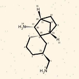 NC[C@H]1CCC[C@@]2(C1)[C@H]1CC[C@H](C1)[C@H]2N